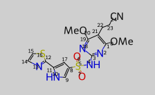 COc1nc(NS(=O)(=O)c2c[nH]c(-c3nccs3)c2)nc(OC)c1CCC#N